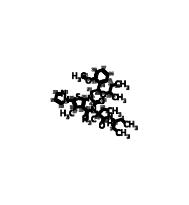 CCC(CC)NC(=O)C(C)(CC)n1c(=O)c2c(C)c(-n3cccn3)sc2n(C[C@H](OC(C)CC)c2ccccc2OC)c1=O